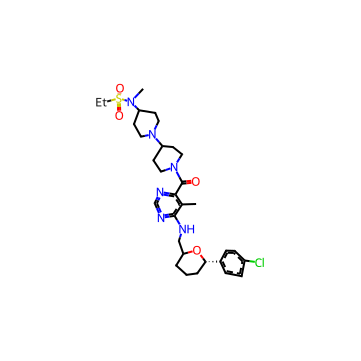 CCS(=O)(=O)N(C)C1CCN(C2CCN(C(=O)c3ncnc(NCC4CCC[C@@H](c5ccc(Cl)cc5)O4)c3C)CC2)CC1